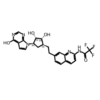 O=C(Nc1ccc2ccc(CC[C@H]3C[C@@H](n4ccc5c(O)ncnc54)[C@H](O)[C@@H]3O)cc2n1)C(F)(F)F